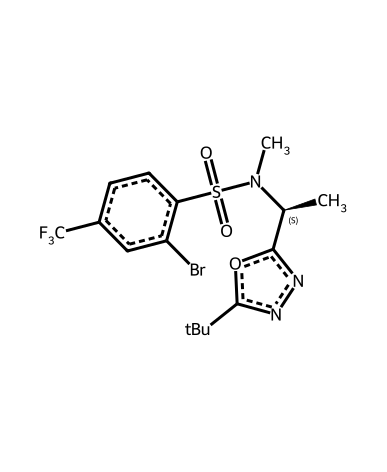 C[C@@H](c1nnc(C(C)(C)C)o1)N(C)S(=O)(=O)c1ccc(C(F)(F)F)cc1Br